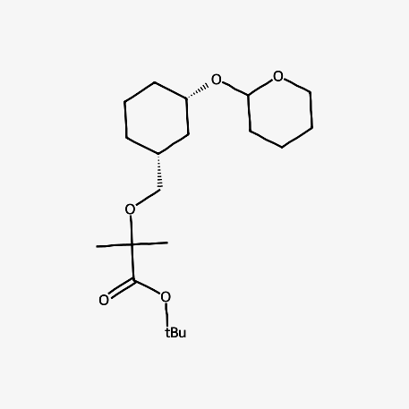 CC(C)(C)OC(=O)C(C)(C)OC[C@@H]1CCC[C@H](OC2CCCCO2)C1